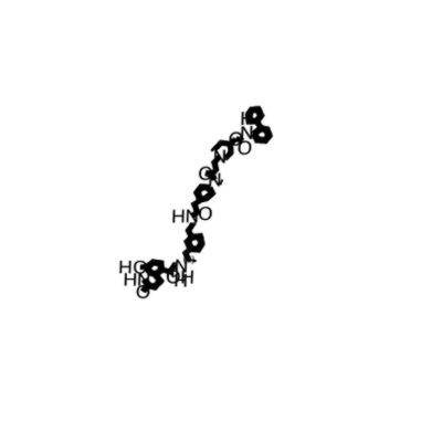 C[C@H](Cc1cccc(CCNC(=O)Cc2ccc(N(C)C(=O)CCN3CCC(OC(=O)Nc4ccccc4-c4ccccc4)CC3)cc2)c1)NC[C@@H](O)c1ccc(O)c2[nH]c(=O)ccc12